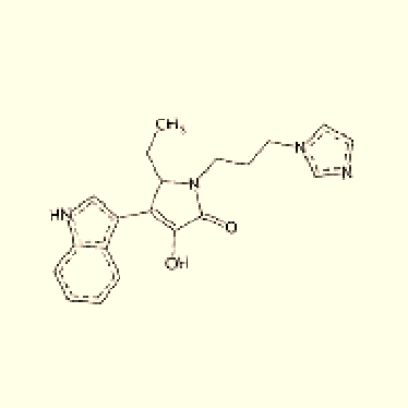 CCC1C(c2c[nH]c3ccccc23)=C(O)C(=O)N1CCCn1ccnc1